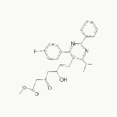 COC(=O)CC(=O)CC(O)C=Cc1c(-c2ccc(F)cc2)nc(-c2ccccc2)nc1C(C)C